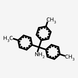 Cc1ccc(C(N)(c2ccc(C)cc2)c2ccc(C)cc2)cc1